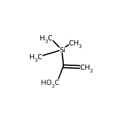 C=C(C(=O)O)[Si](C)(C)C